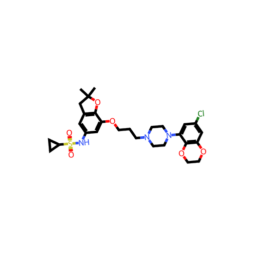 CC1(C)Cc2cc(NS(=O)(=O)C3CC3)cc(OCCCN3CCN(c4cc(Cl)cc5c4OCCO5)CC3)c2O1